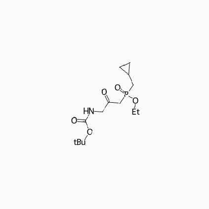 CCOP(=O)(CC(=O)CNC(=O)OC(C)(C)C)CC1CC1